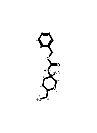 N#CC1(NC(=O)OCc2ccccc2)CCC(CO)OC1